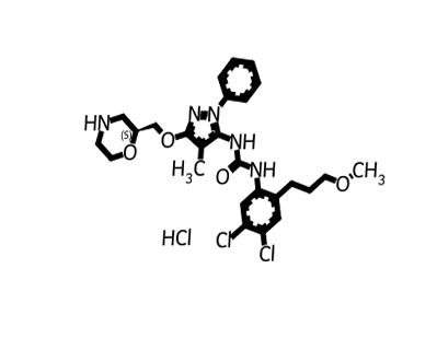 COCCCc1cc(Cl)c(Cl)cc1NC(=O)Nc1c(C)c(OC[C@@H]2CNCCO2)nn1-c1ccccc1.Cl